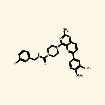 COc1ccc(-c2ccc3nc(N)nc(N4CCN(C(=S)NCc5cccc(Cl)c5)CC4)c3n2)cc1OC